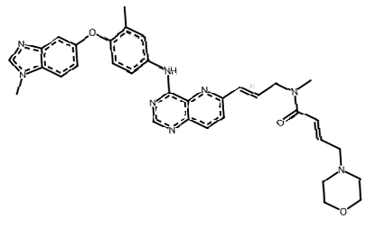 Cc1cc(Nc2ncnc3ccc(/C=C/CN(C)C(=O)C=CCN4CCOCC4)nc23)ccc1Oc1ccc2c(c1)ncn2C